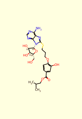 CC(C)COC(=O)c1ccc(OCCCSc2nc3c(N)ncnc3n2[C@@H]2O[C@H](CO)[C@@H](O)[C@@H]2O)c(O)c1